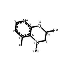 Cc1ccnc2c1N(Br)CC(F)O2